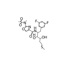 CSCCC(O)C(O)C(Cc1cc(F)cc(F)c1)NC(=O)c1coc(N(C)S(C)(=O)=O)n1